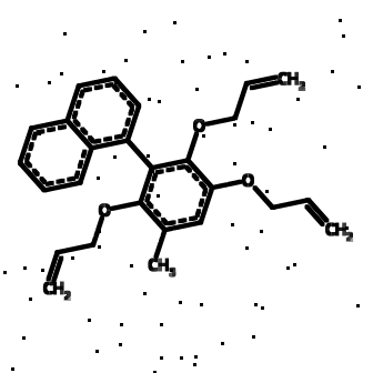 C=CCOc1cc(C)c(OCC=C)c(-c2cccc3ccccc23)c1OCC=C